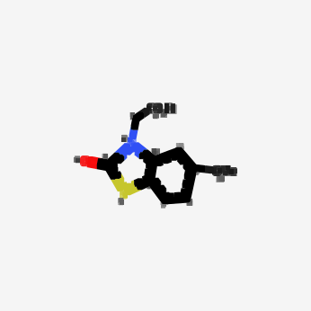 CCOC(=O)Cn1c(=O)sc2ccc(OC)cc21